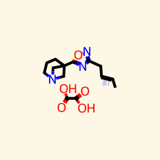 C/C=C/Cc1noc(C23CCCN(C2)C3)n1.O=C(O)C(=O)O